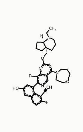 C#Cc1c(F)ccc2cc(O)cc(-c3ncc4c(N5CCCOCC5)nc(OC[C@]56CCC[C@H]5N(CC)CCC6)nc4c3F)c12